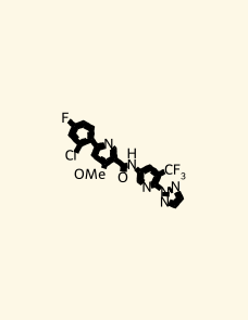 COc1cc(-c2ccc(F)cc2Cl)ncc1C(=O)Nc1cnc(-n2nccn2)c(C(F)(F)F)c1